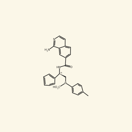 Cc1ccc(N(C[C@H](NC(=O)c2ccc3ccnc(N)c3c2)c2ccccc2)C(=O)O)cc1